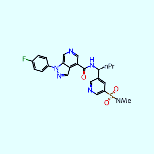 CCC[C@H](NC(=O)c1cncc2c1cnn2-c1ccc(F)cc1)c1cncc(S(=O)(=O)NC)c1